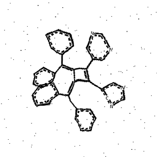 c1ccc(C(=C2C(=C(c3ccccc3)c3ccccc3)C(c3cncnc3)=C2c2cncnc2)c2ccccc2)cc1